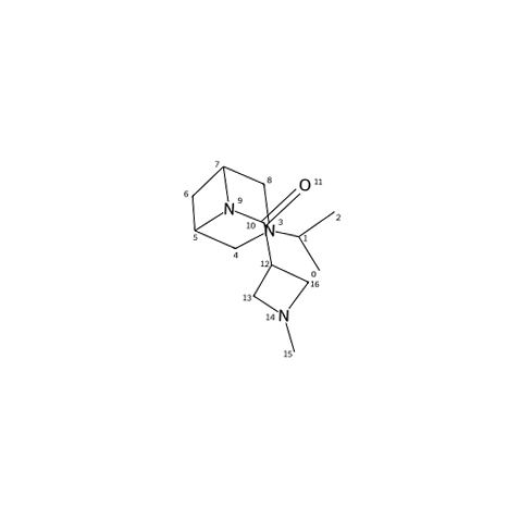 CC(C)N1CC2CC(C1)N2C(=O)C1CN(C)C1